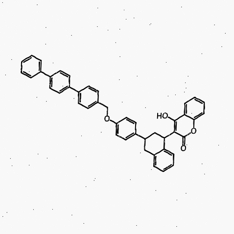 O=c1oc2ccccc2c(O)c1C1CC(c2ccc(OCc3ccc(-c4ccc(-c5ccccc5)cc4)cc3)cc2)Cc2ccccc21